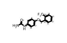 NC(=O)Nc1ccc(OCc2ccccc2C(F)(F)F)cc1